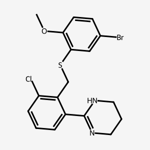 COc1ccc(Br)cc1SCc1c(Cl)cccc1C1=NCCCN1